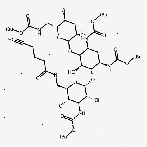 C#CCCCC(=O)NC[C@H]1O[C@H](O[C@H]2[C@H](NC(=O)OC(C)(C)C)C[C@H](NC(=O)OC(C)(C)C)C(O[C@H]3O[C@H](CNC(=O)OC(C)(C)C)[C@@H](O)C[C@H]3C)[C@@H]2O)[C@H](O)[C@@H](NC(=O)OC(C)(C)C)[C@@H]1O